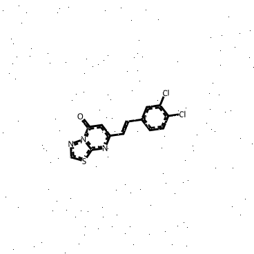 O=c1cc(/C=C/c2ccc(Cl)c(Cl)c2)nc2scnn12